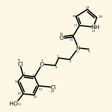 CN(CCCOc1c(Cl)cc(O)cc1Cl)C(=O)c1ccc[nH]1